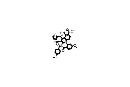 COc1ccc(C(=O)N(C(=O)c2ccc(OC)cc2)c2nc3ccc([N+](=O)[O-])c(N)c3c(Cc3cccs3)c2C#N)cc1